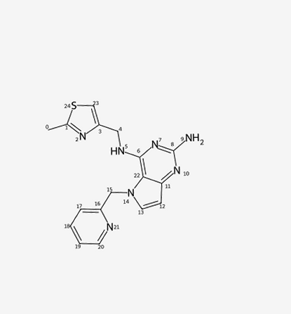 Cc1nc(CNc2nc(N)nc3ccn(Cc4ccccn4)c23)cs1